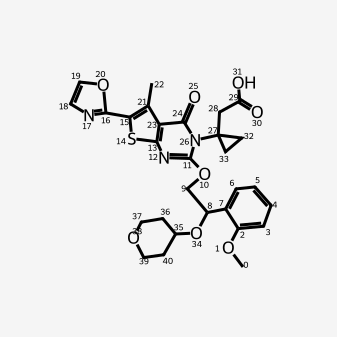 COc1ccccc1C(COc1nc2sc(-c3ncco3)c(C)c2c(=O)n1C1(CC(=O)O)CC1)OC1CCOCC1